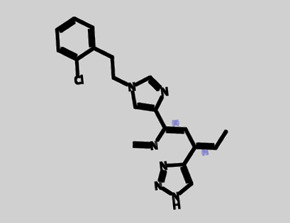 C=N/C(=C\C(=C/C)c1c[nH]nn1)c1cn(CCc2ccccc2Cl)cn1